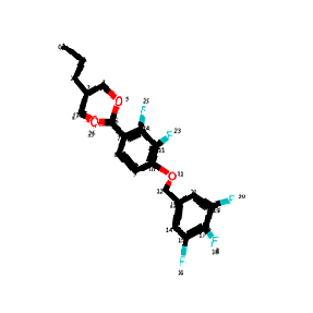 CCCC1COC(c2ccc(OCc3cc(F)c(F)c(F)c3)c(F)c2F)OC1